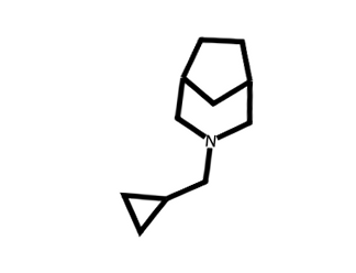 C1CC1CN1CC2CCC(C2)C1